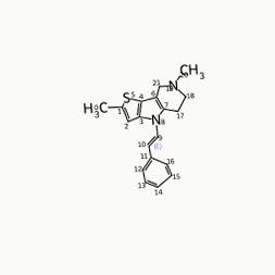 Cc1cc2c(s1)c1c(n2/C=C/c2ccccc2)CCN(C)C1